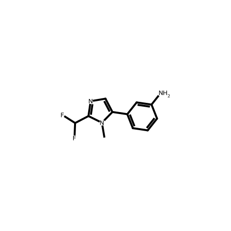 Cn1c(-c2cccc(N)c2)cnc1C(F)F